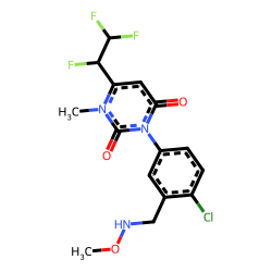 CONCc1cc(-n2c(=O)cc(C(F)C(F)F)n(C)c2=O)ccc1Cl